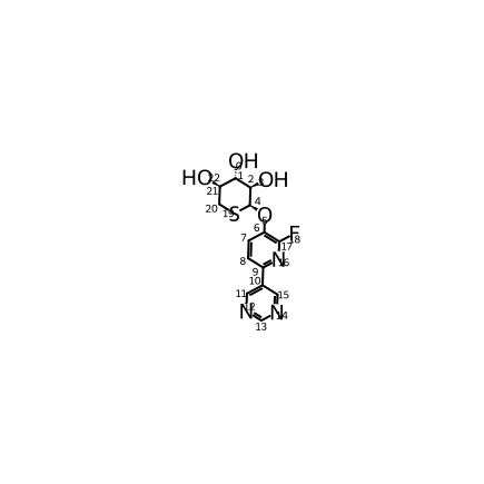 O[C@@H]1[C@@H](O)[C@@H](Oc2ccc(-c3cncnc3)nc2F)SC[C@H]1O